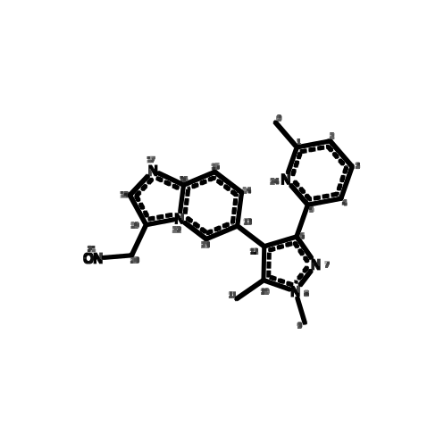 Cc1cccc(-c2nn(C)c(C)c2-c2ccc3ncc(CN=O)n3c2)n1